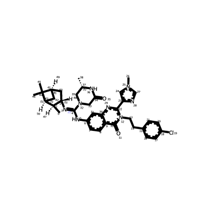 C[C@@H]1[C@@H](/N=C(/Nc2ccc3c(=O)n(CCc4ccc(Cl)cc4)c(-c4cn(C)cn4)nc3c2)N2CC(=O)N[C@@H](C)C2)C[C@H]2C[C@@H]1C2(C)C